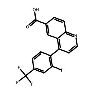 O=C(O)c1ccc2nccc(-c3ccc(C(F)(F)F)cc3F)c2c1